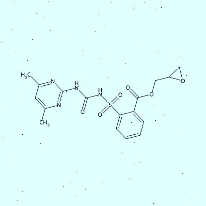 Cc1cc(C)nc(NC(=O)NS(=O)(=O)c2ccccc2C(=O)OCC2CO2)n1